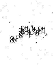 C=C(O)c1cn(C2CC2)c2cc(N3CCC(COc4ccc(N5CCOC5=O)cc4F)(OP(=O)(O)O)CC3)c(F)cc2c1=O